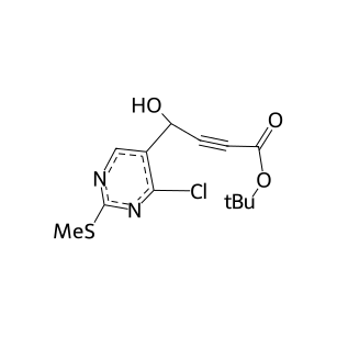 CSc1ncc(C(O)C#CC(=O)OC(C)(C)C)c(Cl)n1